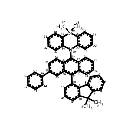 CC1(C)c2ccccc2-c2c(-c3c4ccccc4c(N4c5ccccc5[Si](C)(C)c5ccccc54)c4ccc(-c5ccccc5)cc34)cccc21